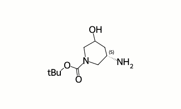 CC(C)(C)OC(=O)N1CC(O)C[C@H](N)C1